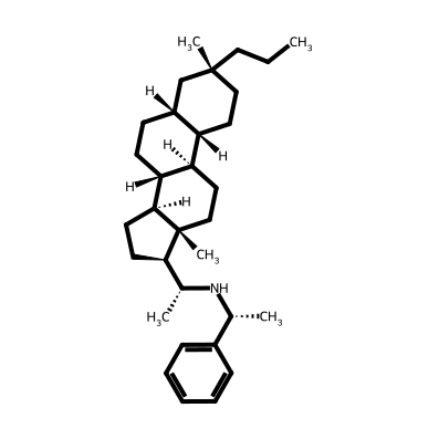 CCC[C@]1(C)CC[C@H]2[C@H](CC[C@@H]3[C@@H]2CC[C@]2(C)[C@@H]([C@@H](C)N[C@H](C)c4ccccc4)CC[C@@H]32)C1